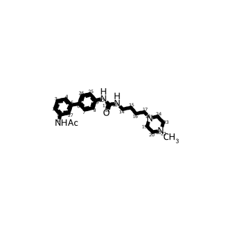 CC(=O)Nc1cccc(-c2ccc(NC(=O)NCCCCN3CCN(C)CC3)cc2)c1